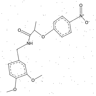 COc1ccc(CNC(=O)C(C)Oc2ccc([N+](=O)[O-])cc2)cc1OC